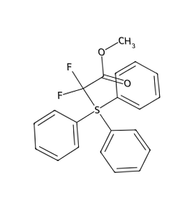 COC(=O)C(F)(F)S(c1ccccc1)(c1ccccc1)c1ccccc1